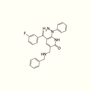 C=C(c1cccc(F)c1)c1cc(CNCc2ccccc2)c(=O)[nH]c1N(N)c1ccccc1